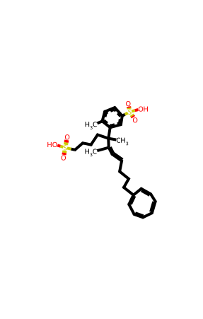 CC(=C=CCCCC1=C/C=C\C=C/C=C\1)C(C)(CCCCS(=O)(=O)O)c1cc(S(=O)(=O)O)ccc1C